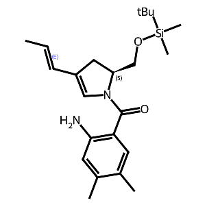 C/C=C/C1=CN(C(=O)c2cc(C)c(C)cc2N)[C@H](CO[Si](C)(C)C(C)(C)C)C1